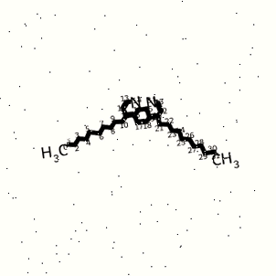 CCCCCCCCCCCc1ccnc2c1ccc1c(CCCCCCCCCCC)ccnc12